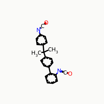 CC(C)(c1ccc(N=C=O)cc1)c1ccc(-c2ccccc2N=C=O)cc1